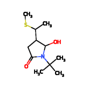 CSC(C)C1CC(=O)N(C(C)(C)C)C1O